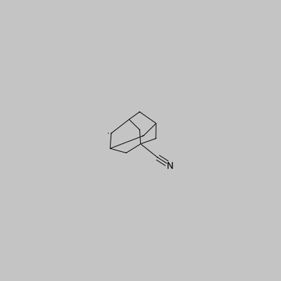 N#CC12CC3[CH]C(CC(C3)C1)C2